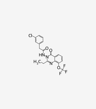 CCc1nc2c(OC(F)(F)F)cccc2c(=O)n1NC(=O)Cc1cccc(Cl)c1